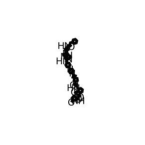 O=C1CC[C@H](N2C(=O)c3cccc(NCC(=O)N4CCC5(CC(N6CCN(c7ccc(Nc8ncnc9c8ncn9C8CC(NC(=O)Cc9ccccc9)C8)cc7)CC6)C5)C4)c3C2=O)C(=O)N1